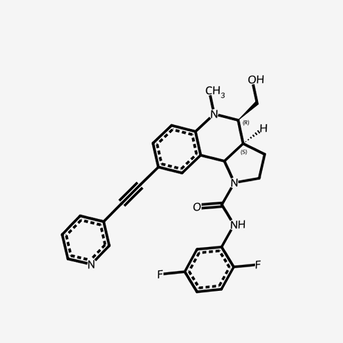 CN1c2ccc(C#Cc3cccnc3)cc2C2[C@H](CCN2C(=O)Nc2cc(F)ccc2F)[C@@H]1CO